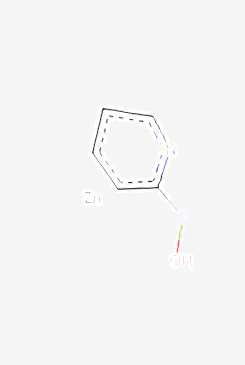 OSc1ccccn1.[Zn]